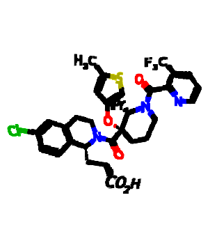 CCC[C@H]1N(C(=O)c2ncccc2C(F)(F)F)CCC[C@@]1(Oc1csc(C)c1)C(=O)N1CCc2cc(Cl)ccc2[C@H]1CCC(=O)O